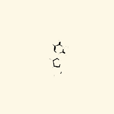 O=c1[nH]c(=O)n([C@@H]2O[C@H](CO)[C@@H](O)[C@H]2Cl)cc1F